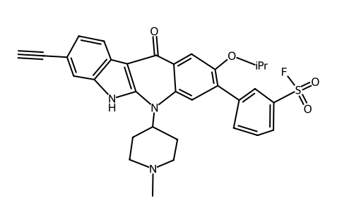 C#Cc1ccc2c(c1)[nH]c1c2c(=O)c2cc(OC(C)C)c(-c3cccc(S(=O)(=O)F)c3)cc2n1C1CCN(C)CC1